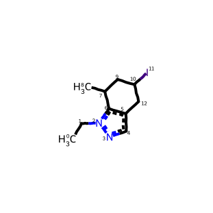 CCn1ncc2c1C(C)CC(I)C2